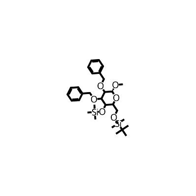 CO[C@H]1OC(CO[Si](C)(C)C(C)(C)C)C(O[Si](C)(C)C)C(OCc2ccccc2)C1OCc1ccccc1